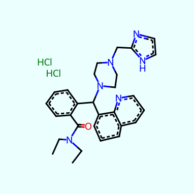 CCN(CC)C(=O)c1ccccc1C(c1cccc2cccnc12)N1CCN(Cc2ncc[nH]2)CC1.Cl.Cl